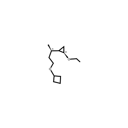 CCO[C@@H]1CC1[C@H](C)CCOC1CCC1